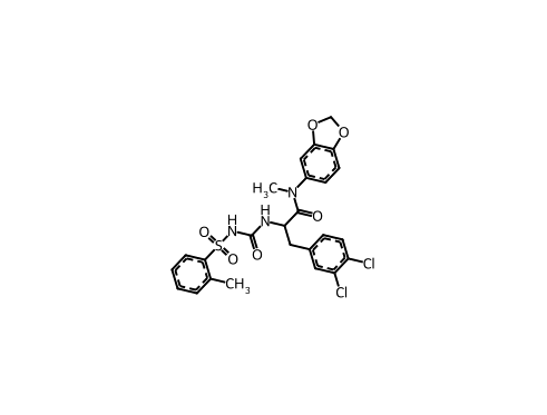 Cc1ccccc1S(=O)(=O)NC(=O)NC(Cc1ccc(Cl)c(Cl)c1)C(=O)N(C)c1ccc2c(c1)OCO2